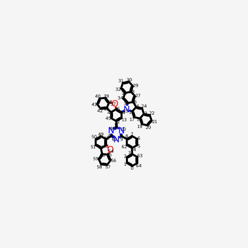 c1ccc(-c2cccc(-c3nc(-c4cc(-n5c6cc7ccccc7cc6c6cc7ccccc7cc65)c5oc6ccccc6c5c4)nc(-c4cccc5c4oc4ccccc45)n3)c2)cc1